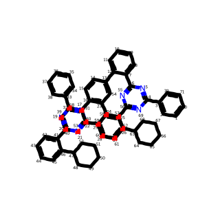 c1ccc(-c2nc(-c3ccccc3-c3ccc(-c4cccnc4)c(-c4ccccc4-c4nc(-c5ccccc5)nc(-c5ccccc5C5CCCCC5)n4)c3)nc(-c3ccccc3C3CCCCC3)n2)cc1